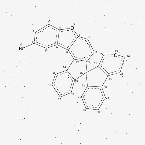 Brc1ccc2oc3ccc4c(c3c2c1)-c1ccccc1C41c2ccccc2-c2ccccc21